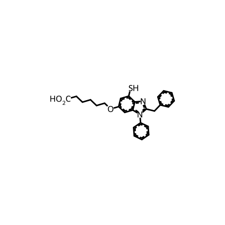 O=C(O)CCCCCOc1cc(S)c2nc(Cc3ccccc3)n(-c3ccccc3)c2c1